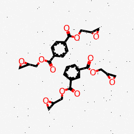 O=C(OCC1CO1)c1ccc(C(=O)OCC2CO2)cc1.O=C(OCC1CO1)c1cccc(C(=O)OCC2CO2)c1